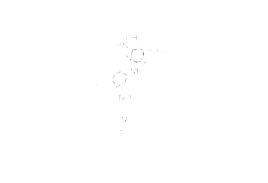 CNc1cc(C)nc(Nc2ccc(C3CC3)c(CNCCN3CCCC3)c2)n1